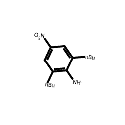 CCCCc1cc([N+](=O)[O-])cc(CCCC)c1[NH]